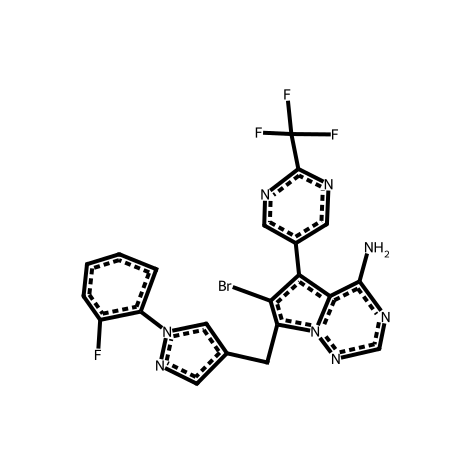 Nc1ncnn2c(Cc3cnn(-c4ccccc4F)c3)c(Br)c(-c3cnc(C(F)(F)F)nc3)c12